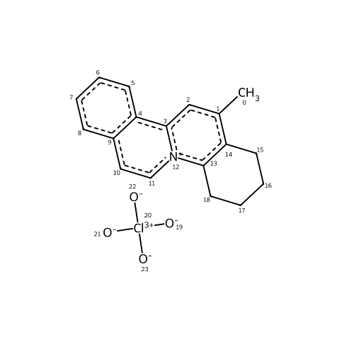 Cc1cc2c3ccccc3cc[n+]2c2c1CCCC2.[O-][Cl+3]([O-])([O-])[O-]